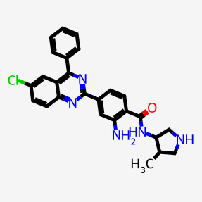 CC1CNCC1NC(=O)c1ccc(-c2nc(-c3ccccc3)c3cc(Cl)ccc3n2)cc1N